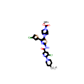 CC(C)(C)OC(=O)N1CC2CC1CN2c1sc(NC(=O)c2cnc(N3CCC(C(=O)O)CC3)c(Cl)c2)nc1-c1cc(Cl)cs1